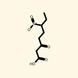 CCC(CCC(=O)CC(=O)O)[N+](=O)[O-]